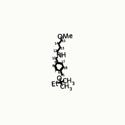 CCC(C)(C)OCc1ccc(CNCCCCOC)cc1